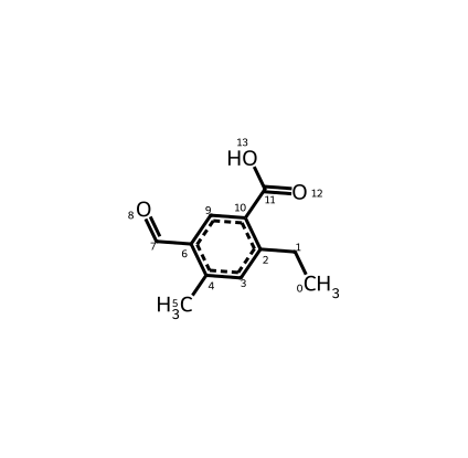 CCc1cc(C)c(C=O)cc1C(=O)O